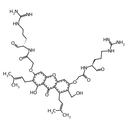 CC(C)=CCc1c(OCC(=O)N[C@H](C=O)CCCNC(=N)N)cc2oc3cc(OCC(=O)N[C@H](C=O)CCCNC(=N)N)c(CO)c(CC=C(C)C)c3c(=O)c2c1O